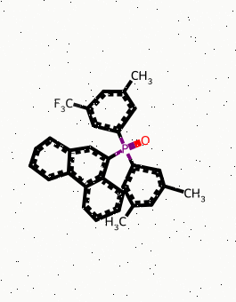 Cc1cc(C)cc(P(=O)(c2cc(C)cc(C(F)(F)F)c2)c2cc3ccccc3c3ccccc23)c1